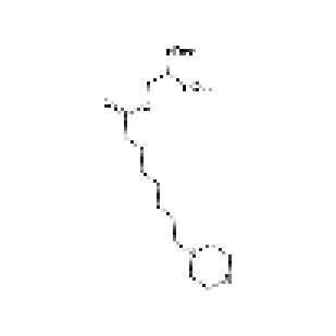 CCCCCCCCCCC(CCCCCCCC)COC(=O)CCCCCCCN1CCSCC1